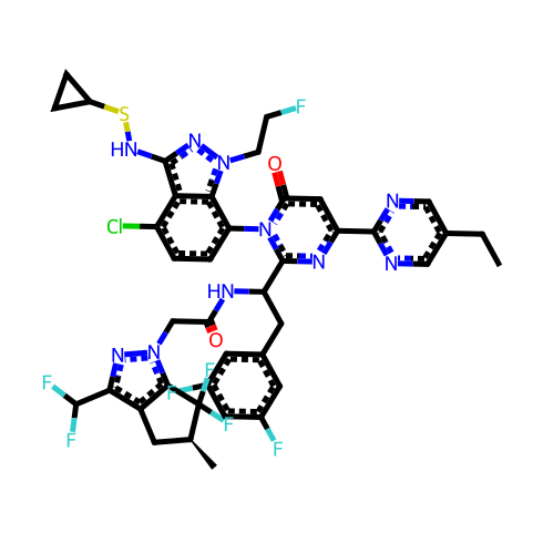 CCc1cnc(-c2cc(=O)n(-c3ccc(Cl)c4c(NSC5CC5)nn(CCF)c34)c(C(Cc3cc(F)cc(F)c3)NC(=O)Cn3nc(C(F)F)c4c3C(F)(F)[C@@H](C)C4)n2)nc1